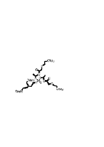 CNCCC(CCSP(=O)(OC(C)OC(=O)COCCOC)OC(C)OC(=O)COCCOC)CNC